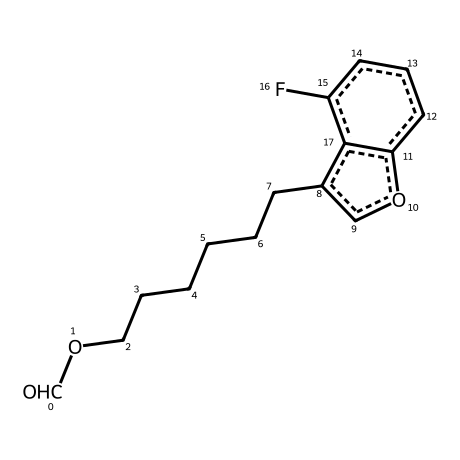 O=COCCCCCCc1coc2cccc(F)c12